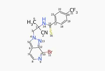 CC(C#N)(Cn1cc2ccnc(Br)c2n1)NC(=S)c1ccc(C(F)(F)F)cc1